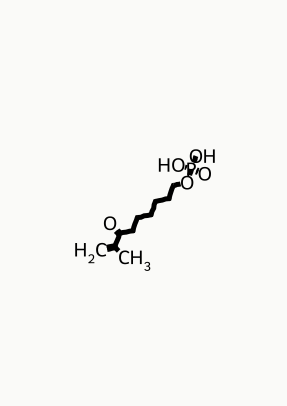 C=C(C)C(=O)CCCCCCOP(=O)(O)O